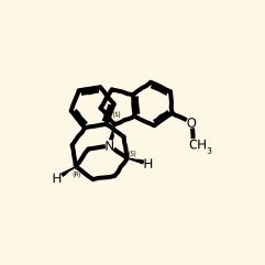 COc1ccc2c(c1)[C@@H](N1C[C@@H]3CC[C@H]1Cc1ccccc1C3)CC2